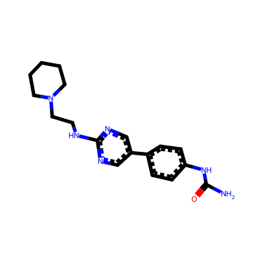 NC(=O)Nc1ccc(-c2cnc(NCCN3CCCCC3)nc2)cc1